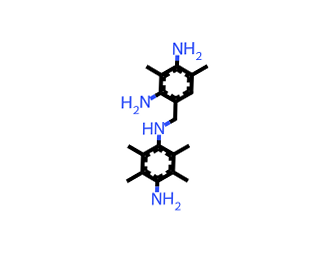 Cc1cc(CNc2c(C)c(C)c(N)c(C)c2C)c(N)c(C)c1N